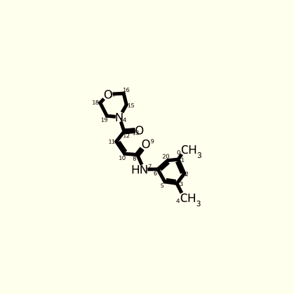 Cc1cc(C)cc(NC(=O)/C=C\C(=O)N2CCOCC2)c1